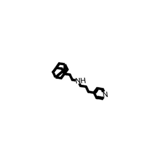 c1cc(CCCNCCC23CC4CC(CC(C4)C2)C3)ccn1